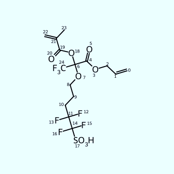 C=CCOC(=O)C(OCCCC(F)(F)C(F)(F)S(=O)(=O)O)(OC(=O)C(=C)C)C(F)(F)F